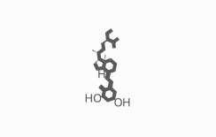 C=C1/C(=C\C=C2/CCC[C@]3(C)[C@@H]([C@H](C)CC[C@@H](CC)C(C)C)CC[C@@H]23)C[C@@H](O)C[C@@H]1O